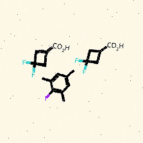 Cc1cc(C)c(I)c(C)c1.O=C(O)C1CC(F)(F)C1.O=C(O)C1CC(F)(F)C1